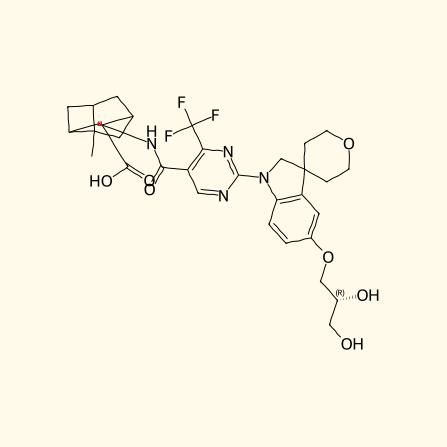 CC12CC3CC1CC2CC3(NC(=O)c1cnc(N2CC3(CCOCC3)c3cc(OC[C@H](O)CO)ccc32)nc1C(F)(F)F)C(=O)O